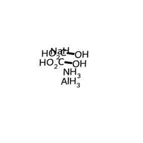 N.O=C(O)O.O=C(O)O.[AlH3].[NaH]